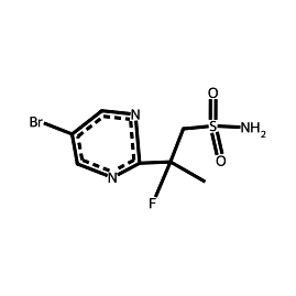 CC(F)(CS(N)(=O)=O)c1ncc(Br)cn1